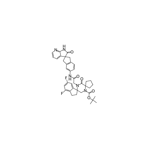 CC(C)(C)OC(=O)N1CC2(CCc3c(F)cc(F)cc32)N(CC(=O)Nc2ccc3c(c2)CC2(C3)C(=O)Nc3ncccc32)C(=O)C12CCCC2